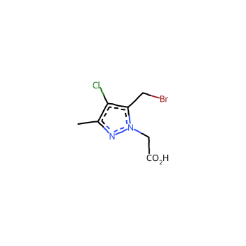 Cc1nn(CC(=O)O)c(CBr)c1Cl